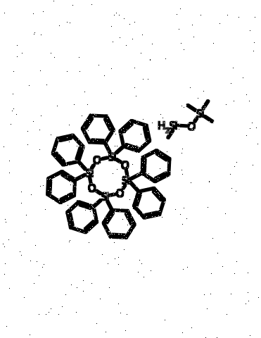 C[SiH2]O[Si](C)(C)C.c1ccc([Si]2(c3ccccc3)O[Si](c3ccccc3)(c3ccccc3)O[Si](c3ccccc3)(c3ccccc3)O[Si](c3ccccc3)(c3ccccc3)O2)cc1